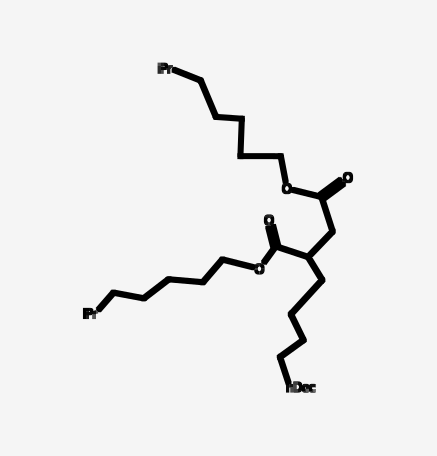 CCCCCCCCCCCCCCC(CC(=O)OCCCCCC(C)C)C(=O)OCCCCCC(C)C